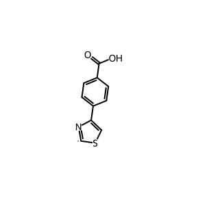 O=C(O)c1ccc(-c2cs[c]n2)cc1